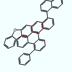 c1ccc(-c2ccccc2-c2c(-c3ccccc3)cccc2N(c2cccc(-c3cccc4ccccc34)c2)c2ccc3oc4ccccc4c3c2)cc1